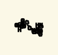 CN(CCOCCc1cccc2c1C(=O)N(C1CCC(=O)NC1=O)C2=O)CC(=O)NC(c1cccnc1)c1cc2ccccc2o1